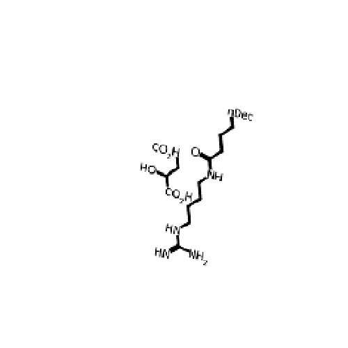 CCCCCCCCCCCCCC(=O)NCCCCNC(=N)N.O=C(O)CC(O)C(=O)O